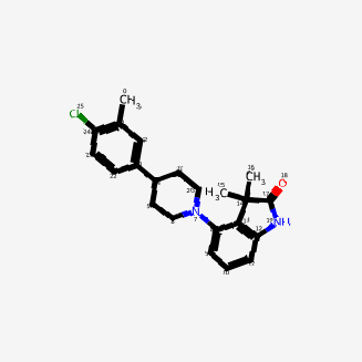 Cc1cc(C2CCN(c3cccc4c3C(C)(C)C(=O)N4)CC2)ccc1Cl